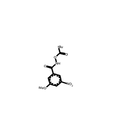 COc1cc(C(=O)NOC(=O)C(C)(C)C)cc([N+](=O)[O-])c1